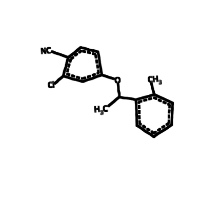 Cc1ccccc1C(C)Oc1ccc(C#N)c(Cl)c1